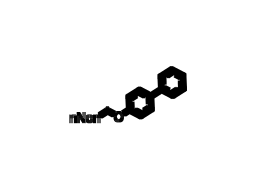 CCCCCCCCC[CH]Oc1ccc(-c2ccccc2)cc1